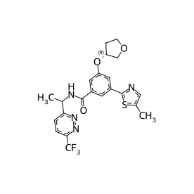 Cc1cnc(-c2cc(O[C@@H]3CCOC3)cc(C(=O)NC(C)c3ccc(C(F)(F)F)nn3)c2)s1